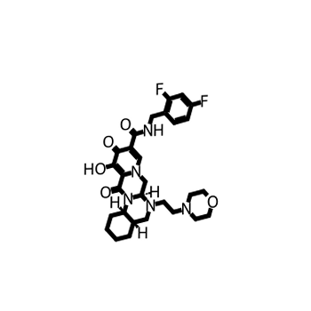 O=C(NCc1ccc(F)cc1F)c1cn2c(c(O)c1=O)C(=O)N1[C@H]3CCCC[C@H]3CN(CCN3CCOCC3)[C@@H]1C2